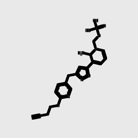 C#CCCOc1ccc(Cc2cc(C3=CC=CN(COP(=O)(O)O)C3N)on2)cn1